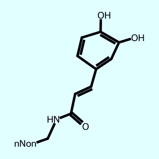 CCCCCCCCCCNC(=O)C=Cc1ccc(O)c(O)c1